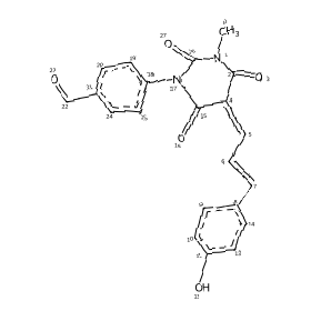 CN1C(=O)C(=CC=Cc2ccc(O)cc2)C(=O)N(c2ccc(C=O)cc2)C1=O